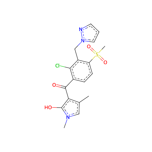 Cc1cn(C)c(O)c1C(=O)c1ccc(S(C)(=O)=O)c(Cn2cccn2)c1Cl